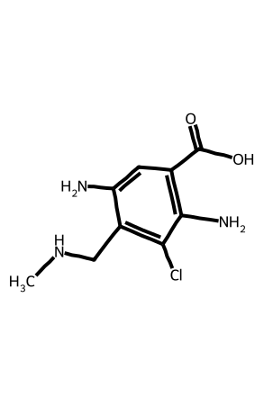 CNCc1c(N)cc(C(=O)O)c(N)c1Cl